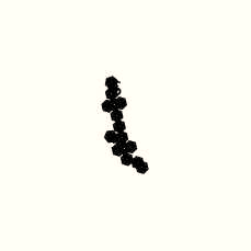 C1=CC2C(C=C1)C(C1CCC3C4=C(CCC=C4)SC3C1)c1ccccc1C2C1CC=C(C2C=CC(C3CCC(C4C5=CCCCC5C(C5CC=CC(C6=CC=C7CCC=CC7C6)C5)C5CCC=CC45)=C4Sc5ccccc5C43)CC2)CC1